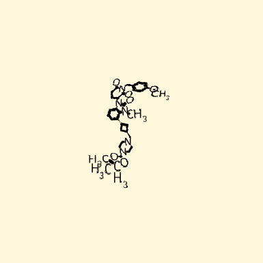 COc1ccc(CN2C(=O)CCC(n3c(=O)n(C)c4c3cccc4[C@H]3C[C@H](CN4CCN(C(=O)OC(C)(C)C)CC4)C3)C2=O)cc1